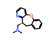 CN(C)C[C@@H]1Cc2ccccc2Oc2cccnc21